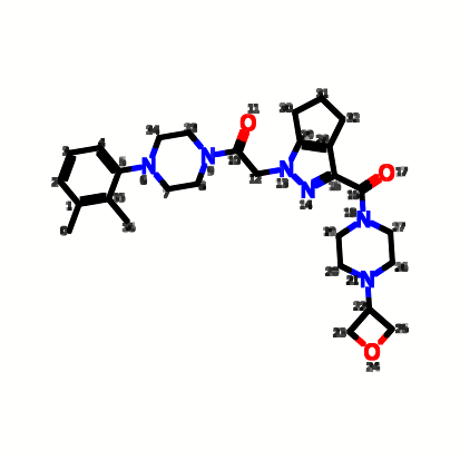 Cc1cccc(N2CCN(C(=O)Cn3nc(C(=O)N4CCN(C5COC5)CC4)c4c3CCC4)CC2)c1C